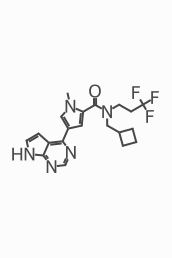 Cn1cc(-c2ncnc3[nH]ccc23)cc1C(=O)N(CCC(F)(F)F)CC1CCC1